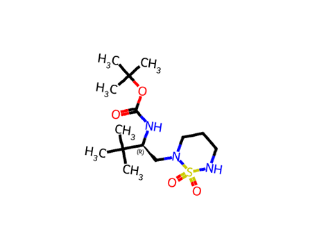 CC(C)(C)OC(=O)N[C@@H](CN1CCCNS1(=O)=O)C(C)(C)C